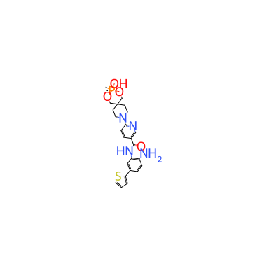 C[P]1(O)OCC2(CCN(c3ccc(C(=O)Nc4cc(-c5cccs5)ccc4N)cn3)CC2)CO1